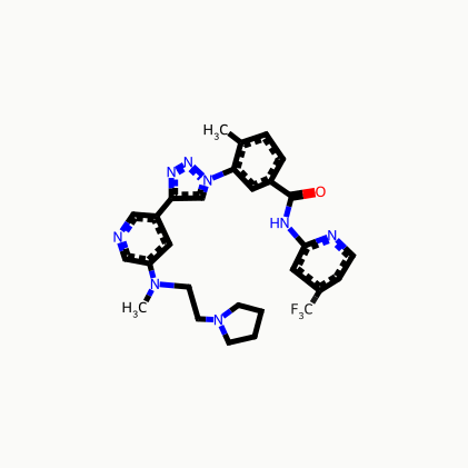 Cc1ccc(C(=O)Nc2cc(C(F)(F)F)ccn2)cc1-n1cc(-c2cncc(N(C)CCN3CCCC3)c2)nn1